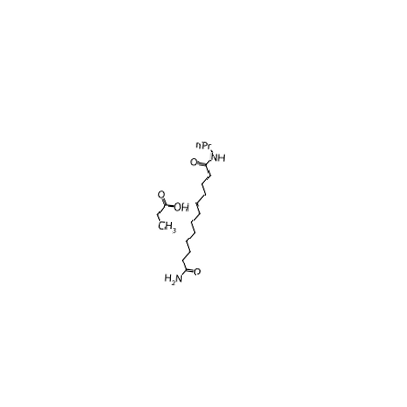 CCC(=O)O.CCCNC(=O)CCCCCCCCCCC(N)=O